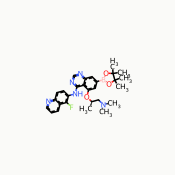 C[C@H](CN(C)C)Oc1cc(B2OC(C)(C)C(C)(C)O2)cc2ncnc(Nc3ccc4ncccc4c3F)c12